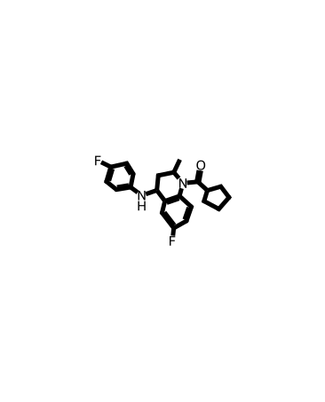 CC1CC(Nc2ccc(F)cc2)c2cc(F)ccc2N1C(=O)C1CCCC1